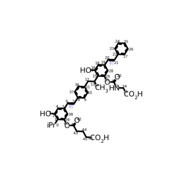 CC(C)c1c(O)cc(/C=C/c2ccc(CC(C)c3c(O)cc(/C=C/c4ccccc4)cc3OC(=O)NCC(=O)O)cc2)cc1OC(=O)CCCC(=O)O